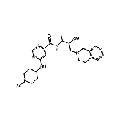 CC(=O)N1CCC(Nc2cc(C(=O)NC(C)C(O)CN3CCc4ccccc4C3)ncn2)CC1